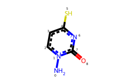 Nn1ccc(S)nc1=O